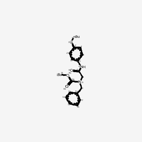 CCCCOc1ccc(NC(=O)CN(Cc2ccccc2)C(=O)OC(C)(C)C)cc1